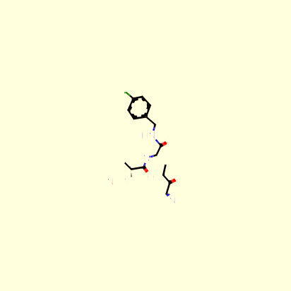 CC(=O)N[C@@H](C)C(=O)N[C@@H](CCC(=O)C=N)C(=O)NCc1ccc(Cl)cc1